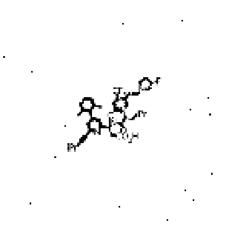 Cc1cccc(C)c1-c1cc(C#CC(C)C)nc([C@H](CC(=O)O)NC(=O)[C@H](CC(C)C)n2cc(CCN3CC[C@@H](F)C3)c(C(F)(F)F)cc2=O)c1